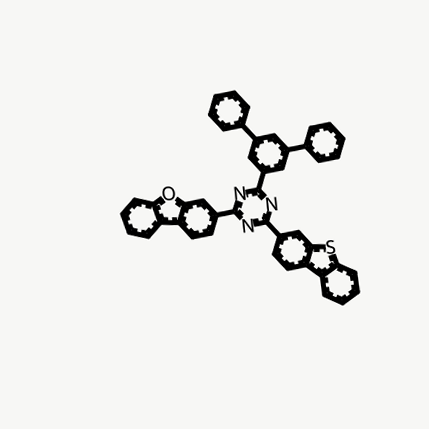 c1ccc(-c2cc(-c3ccccc3)cc(-c3nc(-c4ccc5c(c4)oc4ccccc45)nc(-c4ccc5c(c4)sc4ccccc45)n3)c2)cc1